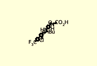 CCC(C)C(COc1ccc(-c2ccc(C(F)(F)F)cc2Cl)c(F)c1)Nc1ccc(C(=O)NCCC(=O)O)cc1